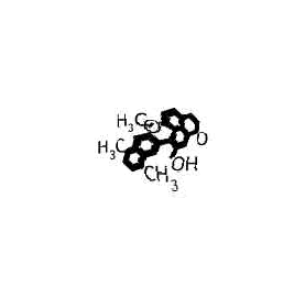 COc1ccc2c3c(cc(CO)c(-c4ccc5c(C)ccc(C)c5c4)c13)C(=O)C=C2